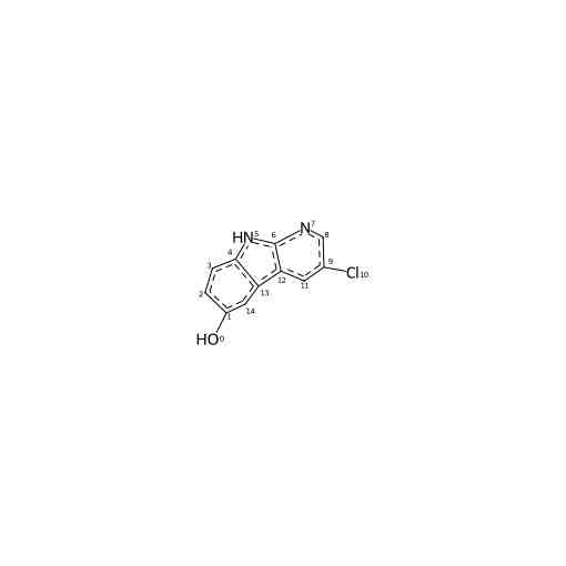 Oc1ccc2[nH]c3ncc(Cl)cc3c2c1